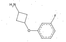 NC1CC(Oc2[c]ccc(F)c2)C1